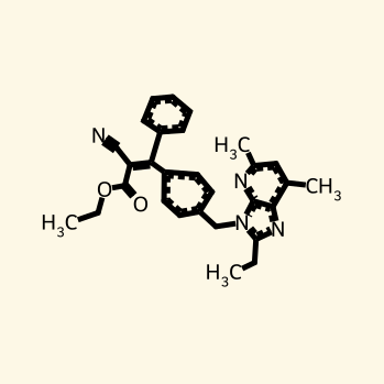 CCOC(=O)/C(C#N)=C(/c1ccccc1)c1ccc(Cn2c(CC)nc3c(C)cc(C)nc32)cc1